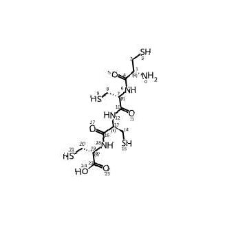 N[C@@H](CS)C(=O)N[C@@H](CS)C(=O)N[C@@H](CS)C(=O)N[C@@H](CS)C(=O)O